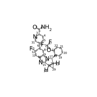 NC(=O)c1ccc(-c2cc3c(cc2F)nc2n3[C@@H](c3ccccc3OC(F)F)[C@@H]3C[C@H]23)cn1